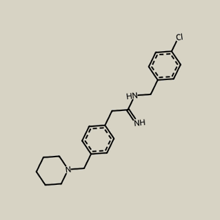 N=C(Cc1ccc(CN2CCCCC2)cc1)NCc1ccc(Cl)cc1